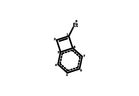 CCC1=Cc2ccccc21